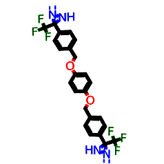 FC(F)(F)C1(c2ccc(COc3ccc(OCc4ccc(C5(C(F)(F)F)NN5)cc4)cc3)cc2)NN1